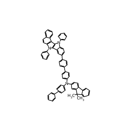 CC1(C)c2ccccc2-c2ccc(N(c3ccc(-c4ccccc4)cc3)c3ccc(-c4ccc(-c5ccc6c(c5)c5c(c7c8ccccc8ccc7n5-c5ccccc5)n6-c5ccccc5)cc4)cc3)cc21